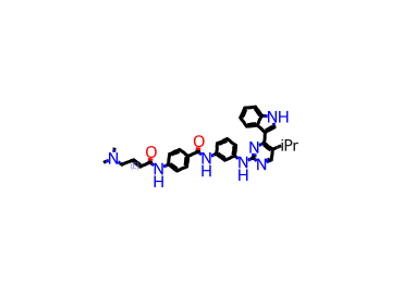 CC(C)c1cnc(Nc2cccc(NC(=O)c3ccc(NC(=O)/C=C/CN(C)C)cc3)c2)nc1-c1c[nH]c2ccccc12